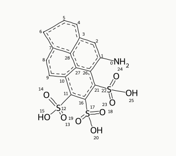 Nc1cc2cccc3ccc4c(S(=O)(=O)O)c(S(=O)(=O)O)c(S(=O)(=O)O)c1c4c32